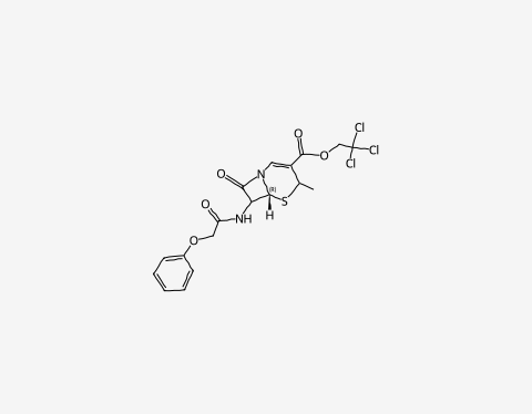 CC1S[C@@H]2C(NC(=O)COc3ccccc3)C(=O)N2C=C1C(=O)OCC(Cl)(Cl)Cl